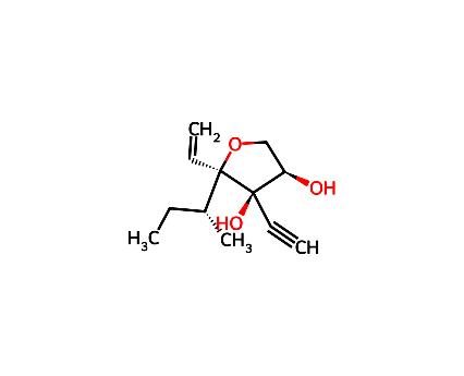 C#C[C@@]1(O)[C@H](O)CO[C@]1(C=C)[C@H](C)CC